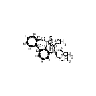 CC[N+](CC)(CC)c1cccc2c1P(=S)(S)Oc1ccccc1-2